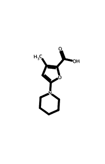 Cc1cc(N2CCCCC2)oc1C(=O)O